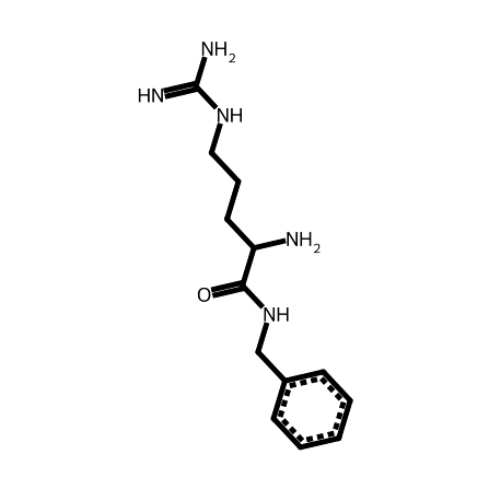 N=C(N)NCCCC(N)C(=O)NCc1ccccc1